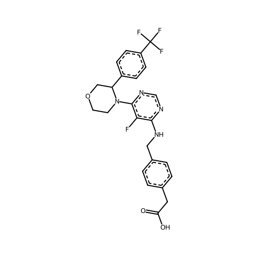 O=C(O)Cc1ccc(CNc2ncnc(N3CCOCC3c3ccc(C(F)(F)F)cc3)c2F)cc1